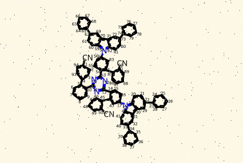 N#Cc1ccc(-c2ccccc2-c2nc(-c3ccc(-n4c5ccc(-c6ccccc6)cc5c5cc(-c6ccccc6)ccc54)cc3-c3ccccc3C#N)nc(-c3ccc(-n4c5ccc(-c6ccccc6)cc5c5cc(-c6ccccc6)ccc54)cc3-c3ccccc3C#N)n2)cc1